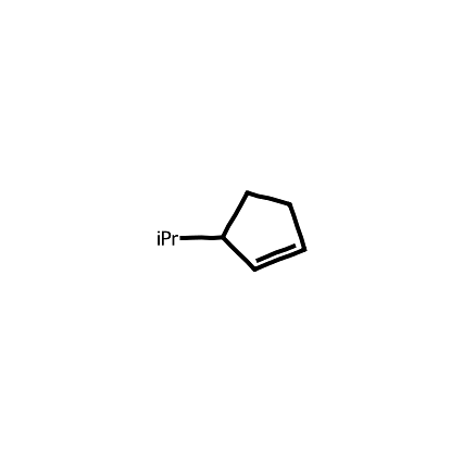 [CH2]C(C)C1C=CCC1